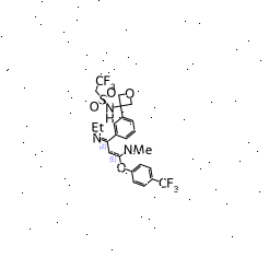 CC/N=C(/C=C(\NC)Oc1ccc(C(F)(F)F)cc1)c1cccc(C2(NS(=O)(=O)CC(F)(F)F)COC2)c1